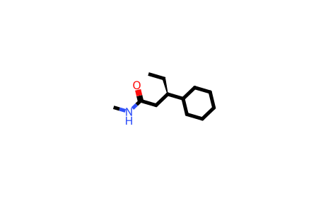 CC[C@H](CC(=O)NC)C1CCCCC1